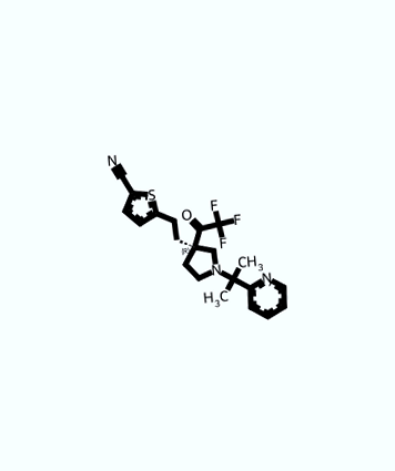 CC(C)(c1ccccn1)N1CC[C@@](CCc2ccc(C#N)s2)(C(=O)C(F)(F)F)C1